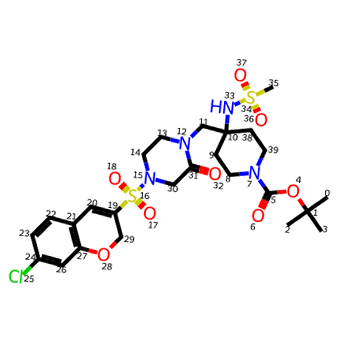 CC(C)(C)OC(=O)N1CCC(CN2CCN(S(=O)(=O)C3=Cc4ccc(Cl)cc4OC3)CC2=O)(NS(C)(=O)=O)CC1